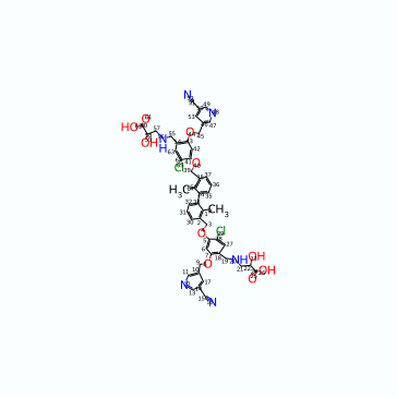 Cc1c(COc2cc(OCc3cncc(C#N)c3)c(CNCC(O)C(=O)O)cc2Cl)cccc1-c1cccc(COc2cc(OCc3cncc(C#N)c3)c(CNCC(O)C(=O)O)cc2Cl)c1C